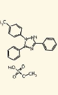 COS(=O)(=O)O.Cc1ccc(N2NC(c3ccccc3)=NN2c2ccccc2)cc1